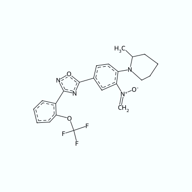 C=[N+]([O-])c1cc(-c2nc(-c3ccccc3OC(F)(F)F)no2)ccc1N1CCCCC1C